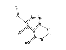 O=Cc1c[nH]c2c(c1=O)C(=O)CCC2